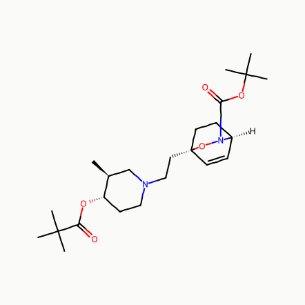 C[C@H]1CN(CC[C@]23C=C[C@H](CC2)N(C(=O)OC(C)(C)C)O3)CC[C@@H]1OC(=O)C(C)(C)C